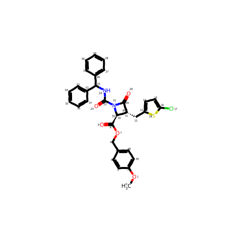 COc1ccc(COC(=O)[C@@H]2[C@@H](Cc3ccc(Cl)s3)C(=O)N2C(=O)NC(c2ccccc2)c2ccccc2)cc1